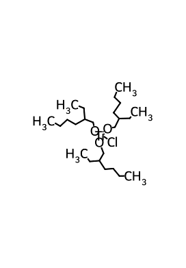 CCCCC(CC)C[O][Ti]([Cl])([O]CC(CC)CCCC)[O]CC(CC)CCCC